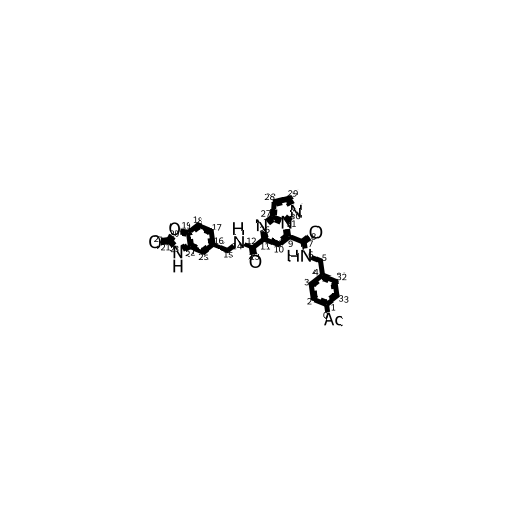 CC(=O)c1ccc(CNC(=O)c2cc(C(=O)NCc3ccc4oc(=O)[nH]c4c3)nc3ccnn23)cc1